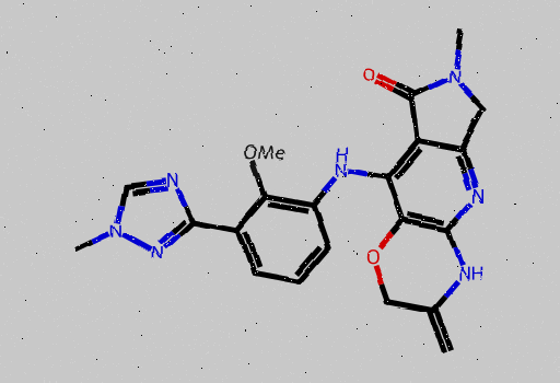 C=C1COc2c(nc3c(c2Nc2cccc(-c4ncn(C)n4)c2OC)C(=O)N(C)C3)N1